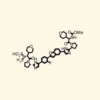 COC(=O)NC(C(=O)N1CCCC1c1ncc(-c2ccc3oc(-c4ccc(-c5cnc([C@@H]6CCCN6C(=O)[C@H](C6CCOCC6)N(C)C(=O)O)[nH]5)cc4F)cc3c2)[nH]1)C1CCOCC1